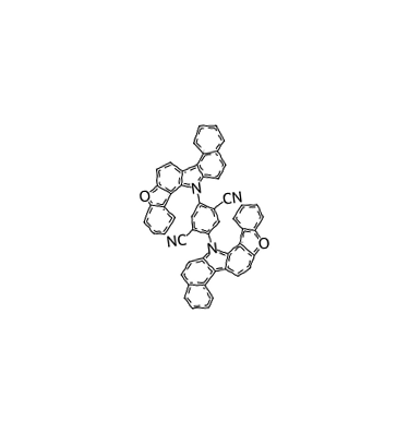 N#Cc1cc(-n2c3ccc4ccccc4c3c3ccc4oc5ccccc5c4c32)c(C#N)cc1-n1c2ccc3ccccc3c2c2ccc3oc4ccccc4c3c21